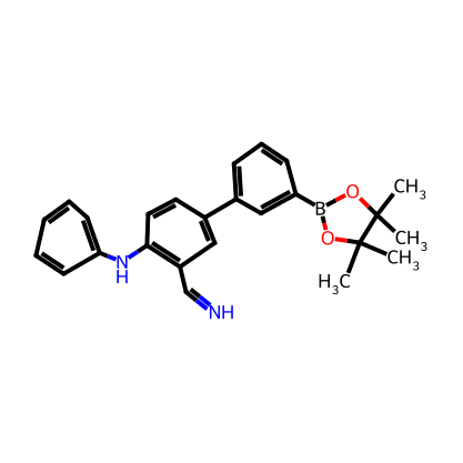 CC1(C)OB(c2cccc(-c3ccc(Nc4ccccc4)c(C=N)c3)c2)OC1(C)C